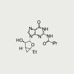 CC[C@]12C[C@H]1[C@@H](O)[C@H](n1cnc3c(=O)[nH]c(NC(=O)C(C)C)nc31)O2